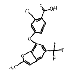 Cc1cc2cc(C(F)(F)F)cc(Oc3ccc(C(=O)O)c(Cl)c3)c2o1